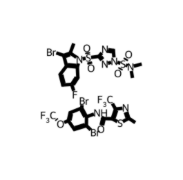 Cc1c(Br)c2ccc(F)cc2n1S(=O)(=O)c1ncn(S(=O)(=O)N(C)C)n1.Cc1nc(C(F)(F)F)c(C(=O)Nc2c(Br)cc(OC(F)(F)F)cc2Br)s1